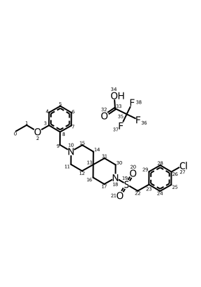 CCOc1ccccc1CN1CCC2(CC1)CCN(S(=O)(=O)Cc1ccc(Cl)cc1)CC2.O=C(O)C(F)(F)F